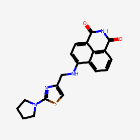 O=C1NC(=O)c2ccc(NCc3csc(N4CCCC4)n3)c3cccc1c23